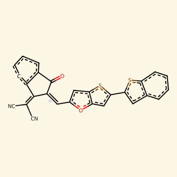 N#CC(C#N)=C1/C(=C/c2cc3sc(-c4cc5ccccc5s4)cc3o2)C(=O)c2ccccc21